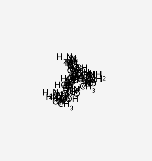 CCCNC(=O)OC[C@H]1[C@@H](O)[C@H](n2c[n+](C)c3c(=O)[nH]c(N)nc32)O[C@@H]1COP(=O)(O)OP(=O)(O)OP(=O)(O)OC[C@H]1O[C@@H](n2cnc3c(N)ncnc32)[C@H](OC)[C@@H]1P(=O)([O-])OC[C@H]1O[C@@H](n2cnc3c(=O)[nH]c(N)nc32)[C@H](O)[C@@H]1O